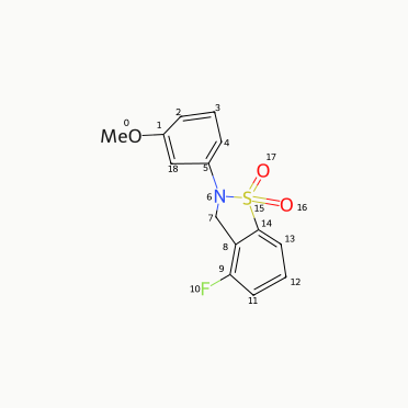 COc1cccc(N2Cc3c(F)cccc3S2(=O)=O)c1